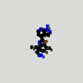 Cc1sc(-c2ccnc3[nH]ncc23)nc1C(C)(C)CN